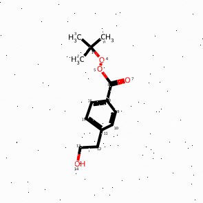 CC(C)(C)OOC(=O)c1ccc(CCO)cc1